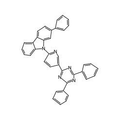 c1ccc(-c2ccc3c4ccccc4n(-c4ccc(-c5nc(-c6ccccc6)nc(-c6ccccc6)n5)cn4)c3c2)cc1